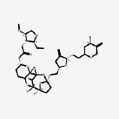 C=C1COC(CC[C@@H]2O[C@@H](CC[C@]34CC[C@H](O3)[C@@H]3OC5CC[C@H](CC(=O)C[C@@H]6[C@@H](OC)CO[C@H]6CC)O[C@@H]5[C@H](O4)C3I)CC2=C)C[C@H]1C